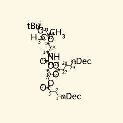 CCCCCCCCCCCCCC(=O)OCC(COC(=O)NCCCOC(C)(C)COC(C)(C)C)OC(=O)CCCCCCCCCCCCC